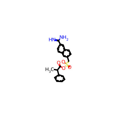 CC(C(=O)OS(=O)(=O)Cc1ccc2cc(C(=N)N)ccc2c1)c1ccccc1